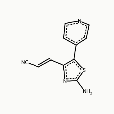 N#C/C=C/c1nc(N)sc1-c1ccncc1